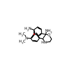 CN(C)c1ccc(C2NCCOC2(N)c2ccc(N)cc2)cc1